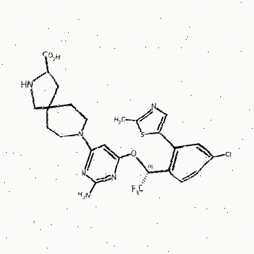 Cc1ncc(-c2cc(Cl)ccc2[C@@H](Oc2cc(N3CCC4(CC3)CNC(C(=O)O)C4)nc(N)n2)C(F)(F)F)s1